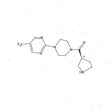 O=C([C@H]1CCNC1)N1CCN(c2ncc(C(F)(F)F)cn2)CC1